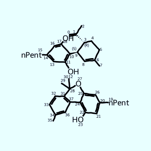 C=C(C)[C@@H]1CCC(C)=C[C@H]1c1c(O)cc(CCCCC)cc1O.CCCCCc1cc(O)c2c(c1)OC(C)(C)c1ccc(C)cc1-2